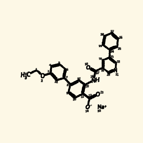 CCOc1cccc(-c2ccc(C(=O)[O-])c(NC(=O)c3cncc(-c4ccccc4)c3)c2)c1.[Na+]